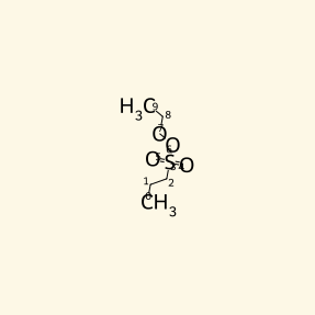 CCCS(=O)(=O)OOCC